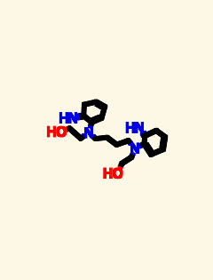 N=C1CC=CC=C1N(CCO)CCCCN(CCO)C1=CC=CCC1=N